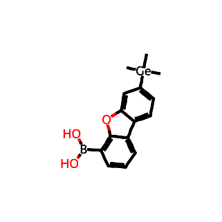 [CH3][Ge]([CH3])([CH3])[c]1ccc2c(c1)oc1c(B(O)O)cccc12